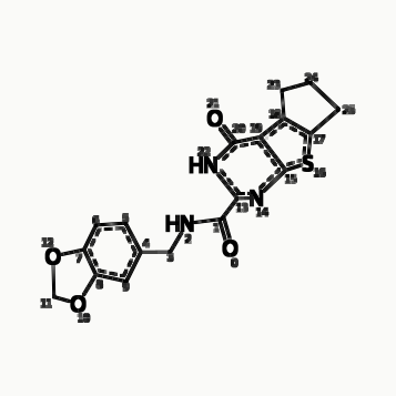 O=C(NCc1ccc2c(c1)OCO2)c1nc2sc3c(c2c(=O)[nH]1)CCC3